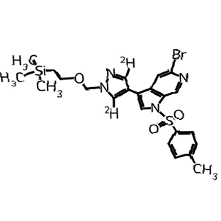 [2H]c1nn(COCC[Si](C)(C)C)c([2H])c1-c1cn(S(=O)(=O)c2ccc(C)cc2)c2cnc(Br)cc12